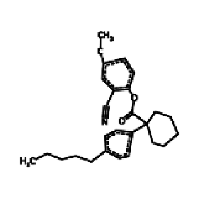 CCCCCc1ccc(C2(C(=O)Oc3ccc(CC)cc3C#N)CCCCC2)cc1